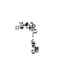 CNC(=O)C(CCC=O)N1Cc2c(CCCCCN3CCN(c4noc5ccccc45)CC3)cccc2C1=O